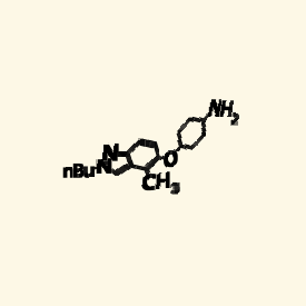 CCCCn1cc2c(C)c(OC3CCC(N)CC3)ccc2n1